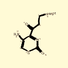 CCCCCCCCCC(=O)c1nc(=O)[nH]cc1N